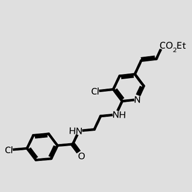 CCOC(=O)/C=C/c1cnc(NCCNC(=O)c2ccc(Cl)cc2)c(Cl)c1